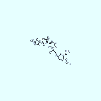 COc1ccc(C=CC(=O)c2cccc(-n3cc(-c4ccc(Cl)o4)[nH]c3=O)c2)cc1OC